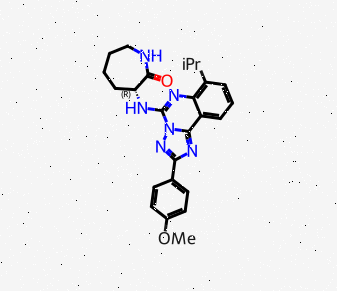 COc1ccc(-c2nc3c4cccc(C(C)C)c4nc(N[C@@H]4CCCCNC4=O)n3n2)cc1